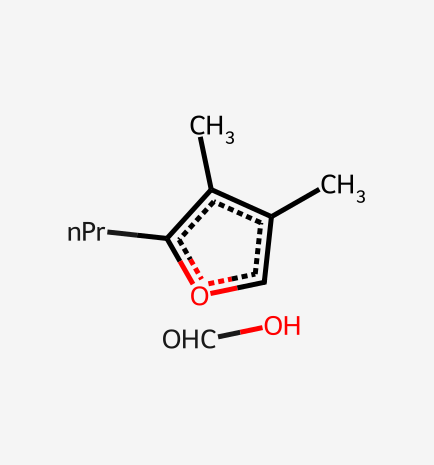 CCCc1occ(C)c1C.O=CO